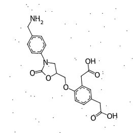 NCc1ccc(N2CC(COc3ccc(CC(=O)O)cc3CC(=O)O)OC2=O)cc1